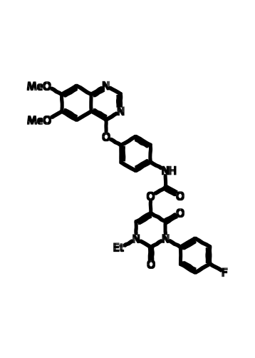 CCn1cc(OC(=O)Nc2ccc(Oc3ncnc4cc(OC)c(OC)cc34)cc2)c(=O)n(-c2ccc(F)cc2)c1=O